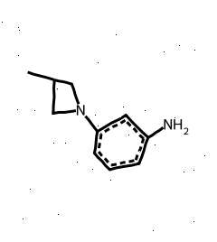 CC1CN(c2cccc(N)c2)C1